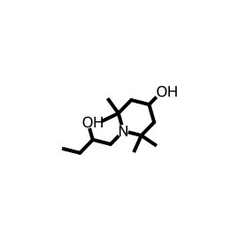 CCC(O)CN1C(C)(C)CC(O)CC1(C)C